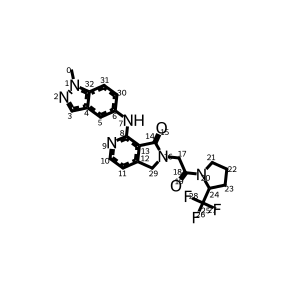 Cn1ncc2cc(Nc3nccc4c3C(=O)N(CC(=O)N3CCCC3C(F)(F)F)C4)ccc21